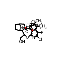 Cc1nc2c3c(nc(Cl)c(F)c3c1C)OC(CO)C1C3CCC(CN21)N3C(=O)OC(C)(C)C